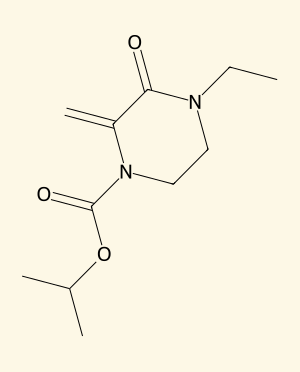 C=C1C(=O)N(CC)CCN1C(=O)OC(C)C